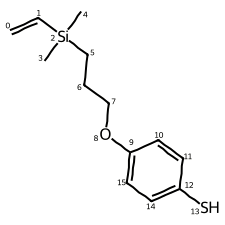 C=C[Si](C)(C)CCCOc1ccc(S)cc1